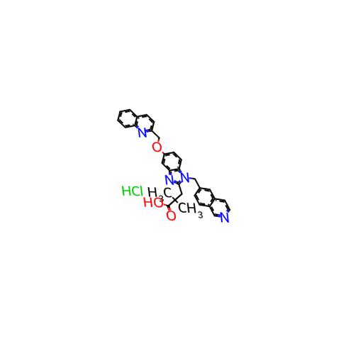 CC(C)(Cc1nc2cc(OCc3ccc4ccccc4n3)ccc2n1Cc1ccc2cnccc2c1)C(=O)O.Cl